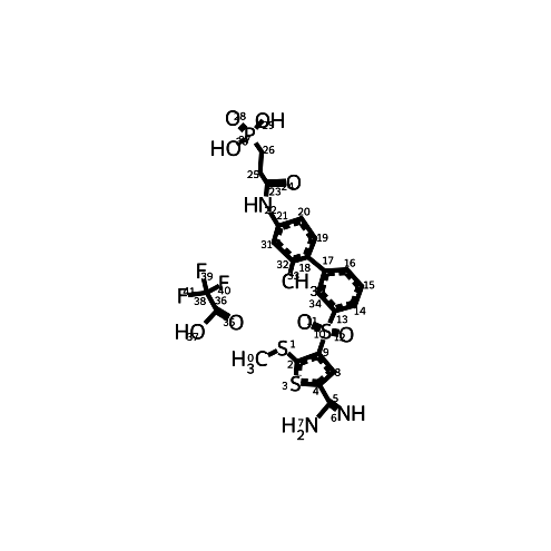 CSc1sc(C(=N)N)cc1S(=O)(=O)c1cccc(-c2ccc(NC(=O)CCP(=O)(O)O)cc2C)c1.O=C(O)C(F)(F)F